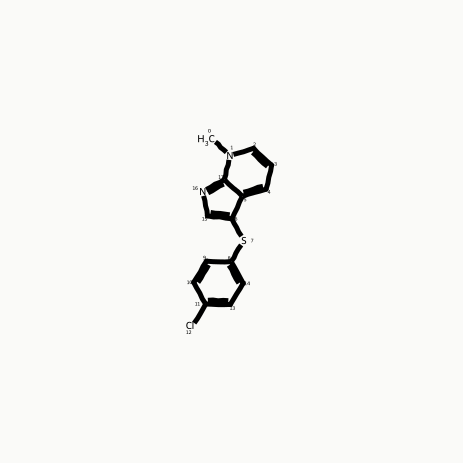 Cn1cccc2c(Sc3ccc(Cl)cc3)cnc1-2